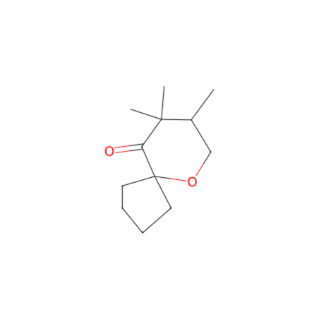 CC1COC2(CCCC2)C(=O)C1(C)C